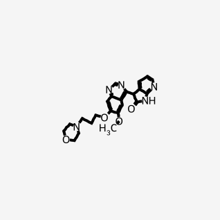 COc1cc2c(C3C(=O)Nc4ncccc43)ncnc2cc1OCCCN1CCOCC1